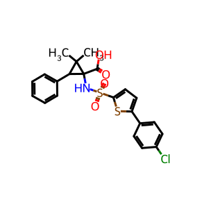 CC1(C)C(c2ccccc2)C1(NS(=O)(=O)c1ccc(-c2ccc(Cl)cc2)s1)C(=O)O